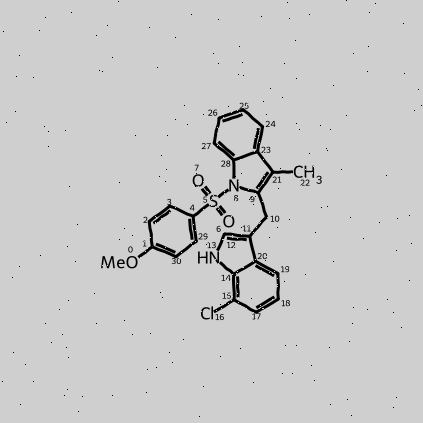 COc1ccc(S(=O)(=O)n2c(Cc3c[nH]c4c(Cl)cccc34)c(C)c3ccccc32)cc1